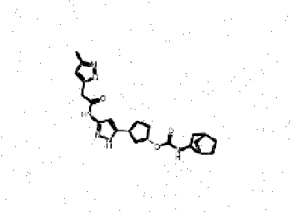 Cc1cc(CC(=O)Nc2cc([C@H]3CC[C@H](OC(=O)NC4CC5CCC4C5)C3)[nH]n2)on1